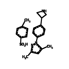 Cc1cc(C)n(-c2ccc(C3CNC3)cc2)n1.Cc1ccc(S(=O)(=O)O)cc1